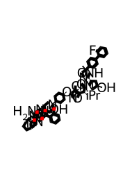 CC(C)[C@@H](C(=O)N1C[C@H](O)C[C@H]1C1=NO[C@](C)(c2ccc(-c3ccccc3F)cc2)N1)c1onc(O[C@H]2CC[C@H](N3CCC(c4cnc(N5C6CCC5CN(c5cc(-c7ccccc7O)nnc5N)C6)nc4)CC3)CC2)c1Cl